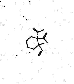 C=CC1(C)CCCCC1(C(=C)C)C(=C)C